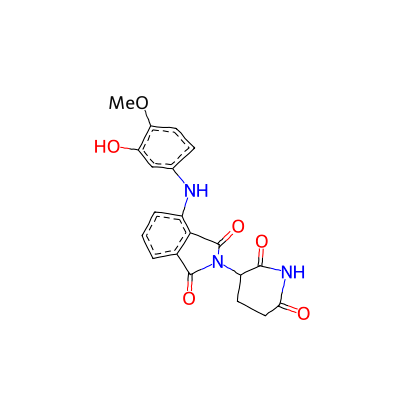 COc1ccc(Nc2cccc3c2C(=O)N(C2CCC(=O)NC2=O)C3=O)cc1O